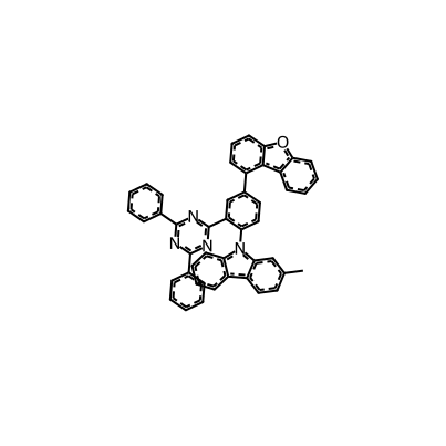 Cc1ccc2c3ccccc3n(-c3ccc(-c4cccc5oc6ccccc6c45)cc3-c3nc(-c4ccccc4)nc(-c4ccccc4)n3)c2c1